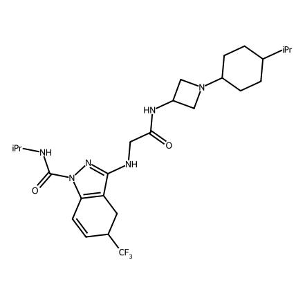 CC(C)NC(=O)n1nc(NCC(=O)NC2CN(C3CCC(C(C)C)CC3)C2)c2c1C=CC(C(F)(F)F)C2